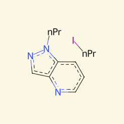 CCCI.CCCn1ncc2ncccc21